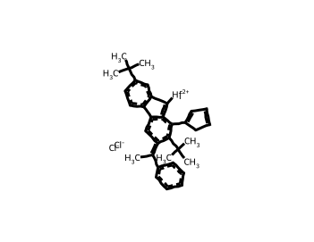 CC(c1ccccc1)=c1cc2c(c(C3=CC=CC3)c1C(C)(C)C)=[C]([Hf+2])c1cc(C(C)(C)C)ccc1-2.[Cl-].[Cl-]